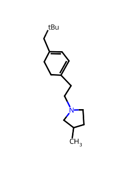 CC1CCN(CCC2=CC=C(CC(C)(C)C)CC2)C1